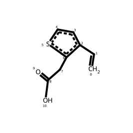 C=Cc1ccsc1CC(=O)O